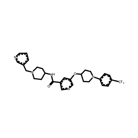 O=C(NC1CCN(Cc2cccnc2)CC1)c1cncc(OC2CCN(c3ccc(C(F)(F)F)cc3)CC2)c1